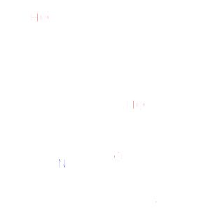 Oc1cccc(C2CCCN(C[C@H]3COc4cccc(O)c4O3)C2)c1